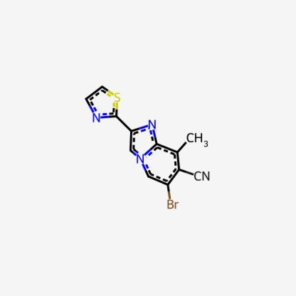 Cc1c(C#N)c(Br)cn2cc(-c3nccs3)nc12